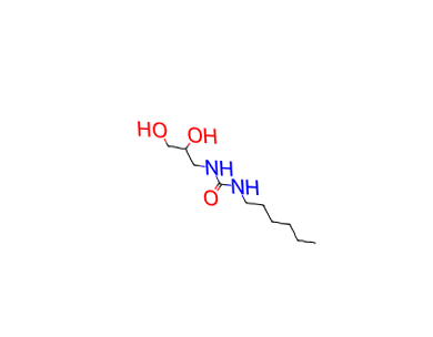 CCCCCCNC(=O)NCC(O)CO